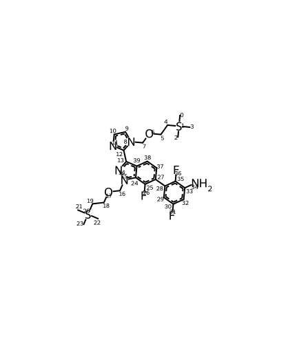 CS(C)(C)CCOCn1ccnc1-c1nn(COCCS(C)(C)C)c2c(F)c(-c3cc(F)cc(N)c3F)ccc12